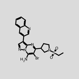 CCS(=O)(=O)N1CCC(c2nc3c(-c4cnc5ccccc5c4)cnn3c(N)c2Br)C1